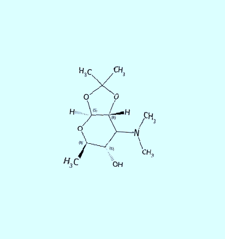 C[C@H]1O[C@H]2OC(C)(C)O[C@@H]2C(N(C)C)[C@@H]1O